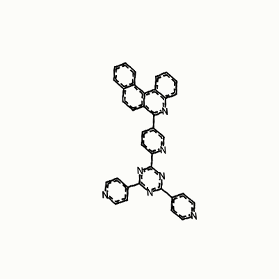 c1ccc2c(c1)ccc1c(-c3ccc(-c4nc(-c5ccncc5)nc(-c5ccncc5)n4)nc3)nc3ccccc3c12